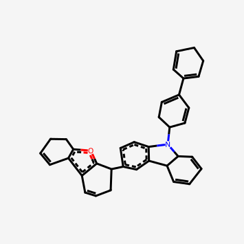 C1=CC2c3cc(C4CC=Cc5c4oc4c5C=CCC4)ccc3N(C3C=CC(C4=CCCC=C4)=CC3)C2C=C1